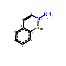 NN1C=Cc2ccccc2S1